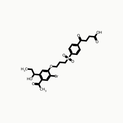 CCC(O)c1cc(OCCCS(=O)(=O)c2ccc(C(=O)CCC(=O)O)cc2)c(Br)cc1C(C)=O